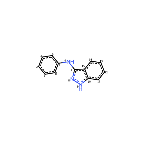 [c]1ccccc1Nc1n[nH]c2ccccc12